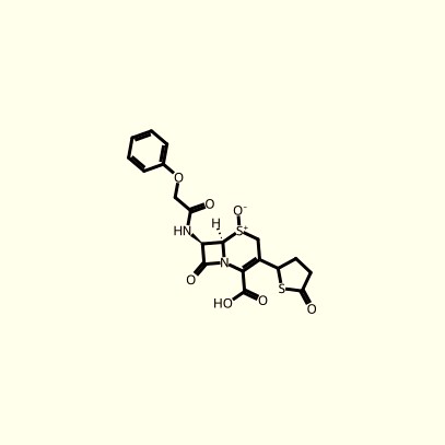 O=C(COc1ccccc1)N[C@@H]1C(=O)N2C(C(=O)O)=C(C3CCC(=O)S3)C[S+]([O-])[C@H]12